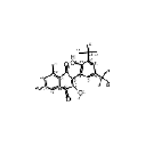 COC1=C(c2cc(C(C)(C)C)cc(C(C)(C)C)c2O)C(=O)c2c(C)cc(C)cc2C1=O